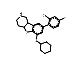 Clc1ccc(-c2cc(SC3CCCCC3)c3c(c2)C2CNCCC2O3)c(Cl)c1